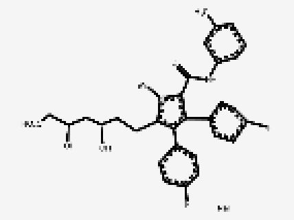 Cc1cccc(NC(=O)c2c(-c3ccc(F)cc3)c(-c3ccc(F)cc3)c(CC[C@@H](O)C[C@@H](O)CC(=O)O)n2C(C)C)c1.[NaH]